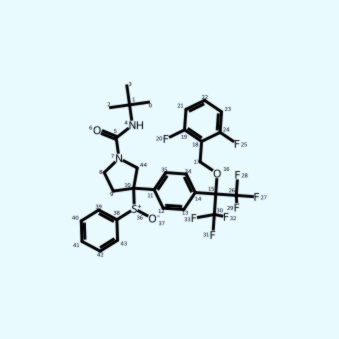 CC(C)(C)NC(=O)N1CCC(c2ccc(C(OCc3c(F)cccc3F)(C(F)(F)F)C(F)(F)F)cc2)([S+]([O-])c2ccccc2)C1